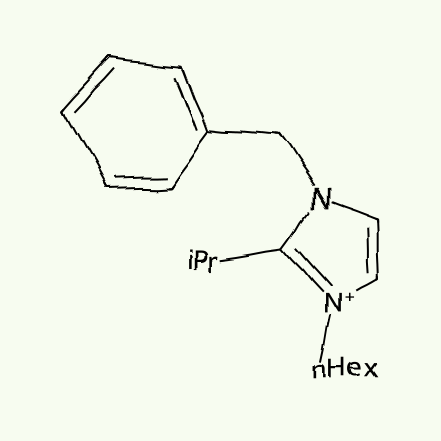 CCCCCC[n+]1ccn(Cc2ccccc2)c1C(C)C